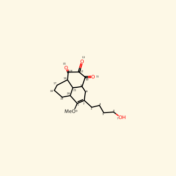 COC1=C(CCCCO)CC2C(=O)C(=O)C(=O)C3CCCC1C32